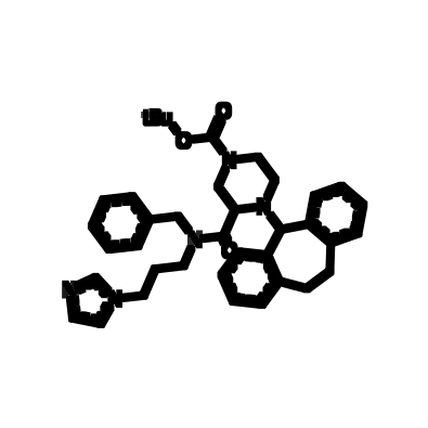 CC(C)(C)OC(=O)N1CCN(C2c3ccccc3CCc3ccccc32)C(C(=O)N(CCCn2ccnc2)Cc2ccccc2)C1